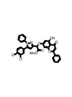 COC(=O)C(Oc1cc(O)c2c(=O)cc(-c3ccccc3)oc2c1)c1cc(-c2ccc(Cl)c(Cl)c2)n(-c2ccccc2)n1